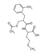 CSCCC(NC(=O)C(CSC(C)=O)Cc1ccccc1C)C(=O)O